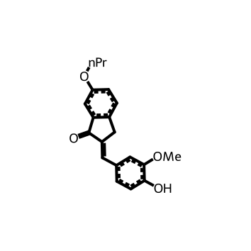 CCCOc1ccc2c(c1)C(=O)C(=Cc1ccc(O)c(OC)c1)C2